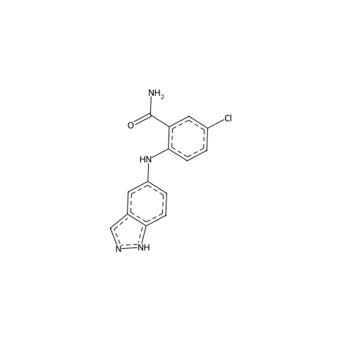 NC(=O)c1cc(Cl)ccc1Nc1ccc2[nH]ncc2c1